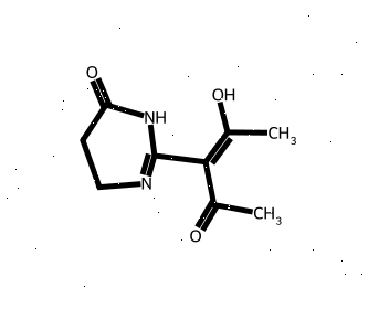 CC(=O)/C(C1=NCCC(=O)N1)=C(\C)O